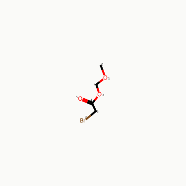 COCOC(=O)CBr